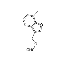 O=[C]OCc1coc2c(I)cccc12